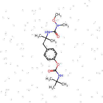 CON(C)C(=O)NC(C)(C)Cc1ccc(OC(=O)NC(C)(C)C)cc1